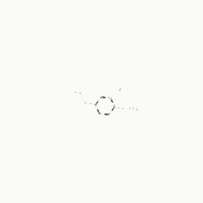 COc1ccc(CCC(C)=O)cc1NC(C)=O